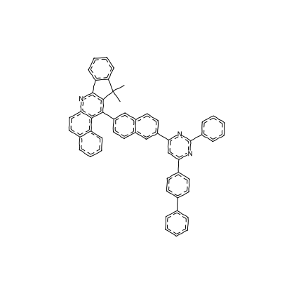 CC1(C)c2ccccc2-c2nc3ccc4ccccc4c3c(-c3ccc4cc(-c5cc(-c6ccc(-c7ccccc7)cc6)nc(-c6ccccc6)n5)ccc4c3)c21